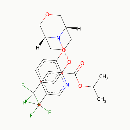 CC(C)OC(=O)c1cc(C(F)(F)F)ccc1ON1[C@@H]2COC[C@H]1C[C@@H](Oc1ccc(C(F)(F)F)cn1)C2